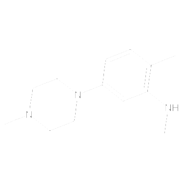 CNc1cc(N2CCN(C)CC2)ccc1C